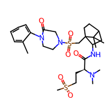 Cc1ccccc1N1CCN(S(=O)(=O)CC23CCC(CC2NC(=O)[C@H](CCS(C)(=O)=O)N(C)C)C3(C)C)CC1=O